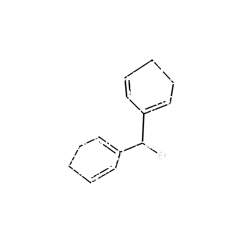 CCC(C1=CCCC=C1)C1=CCCC=C1